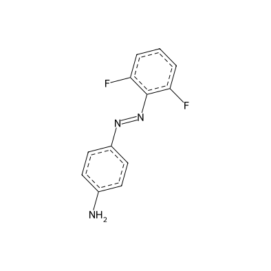 Nc1ccc(N=Nc2c(F)cccc2F)cc1